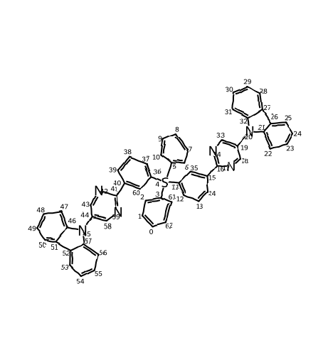 c1ccc(S(c2ccccc2)(c2cccc(-c3ncc(-n4c5ccccc5c5ccccc54)cn3)c2)c2cccc(-c3ncc(-n4c5ccccc5c5ccccc54)cn3)c2)cc1